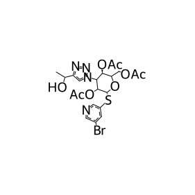 CC(=O)OCC1O[C@H](Sc2cncc(Br)c2)C(OC(C)=O)C(n2cc(C(C)O)nn2)[C@H]1OC(C)=O